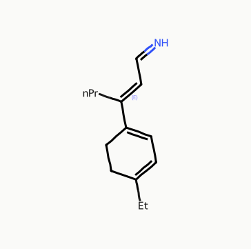 CCC/C(=C\C=N)C1=CC=C(CC)CC1